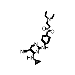 CCN(CC)CCS(=O)(=O)c1ccc(Nc2ncc(C#N)c(NC3CC3)n2)cc1